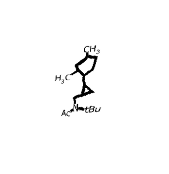 CC(=O)N(CC1CC1C1CCC(C)=CC1C)C(C)(C)C